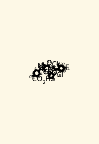 CC1(C(=O)O)CCC(n2ncc(C(=O)N(CC(=O)c3c(Cl)cc(F)cc3Cl)CC3(F)CCCC3)c2C(F)(F)F)CC1